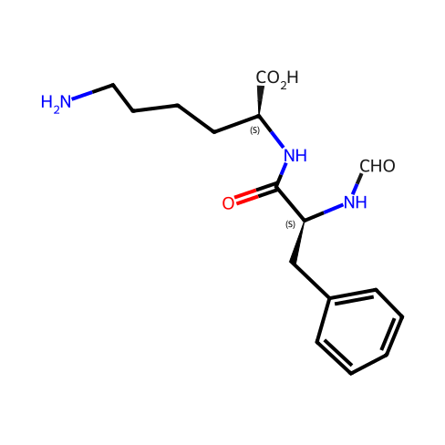 NCCCC[C@H](NC(=O)[C@H](Cc1ccccc1)NC=O)C(=O)O